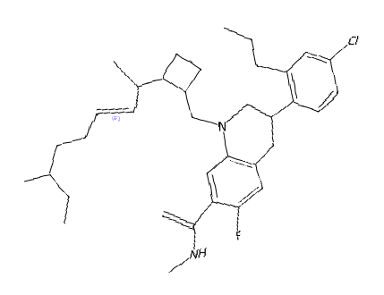 C=C(NC)c1cc2c(cc1F)CC(c1ccc(Cl)cc1CCC)CN2CC1CCC1C(C)/C=C/CCC(C)CC